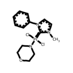 Cn1ccn(-c2ccccc2)[c]1=[Pt]([Cl])([Cl])[N]1CCOCC1